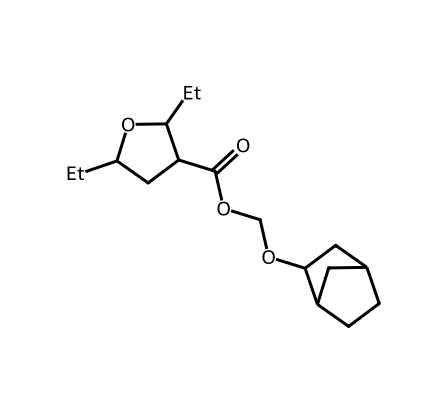 CCC1CC(C(=O)OCOC2CC3CCC2C3)C(CC)O1